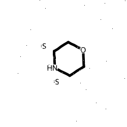 C1COCCN1.[S].[S]